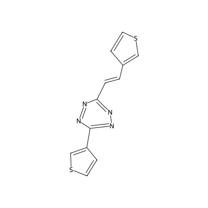 C(=C\c1nnc(-c2ccsc2)nn1)/c1ccsc1